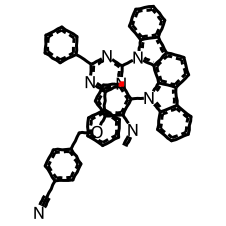 C=Nc1c(OCc2ccc(C#N)cc2)cccc1-n1c2ccccc2c2ccc3c4ccccc4n(-c4nc(-c5ccccc5)nc(-c5ccccc5)n4)c3c21